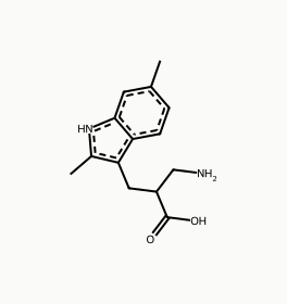 Cc1ccc2c(CC(CN)C(=O)O)c(C)[nH]c2c1